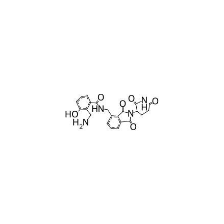 NCc1c(O)cccc1C(=O)NCc1cccc2c1C(=O)N(C1CCC(=O)NC1=O)C2=O